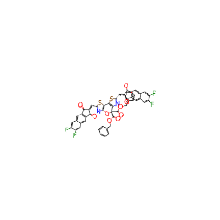 O=C1C(=Cc2nc3c(s2)-c2sc(C=C4C(=O)c5cc6cc(F)c(F)cc6cc5C4=O)nc2C(C(=O)OCc2ccccc2)(C(=O)OCc2ccccc2)O3)C(=O)c2cc3cc(F)c(F)cc3cc21